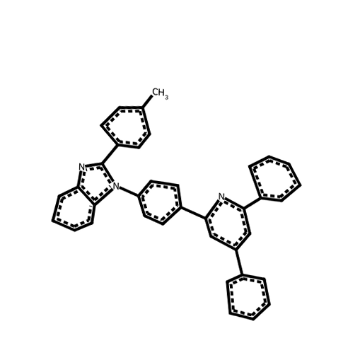 Cc1ccc(-c2nc3ccccc3n2-c2ccc(-c3cc(-c4ccccc4)cc(-c4ccccc4)n3)cc2)cc1